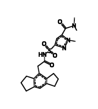 CN(C)C(=O)c1cc(S(=O)(=O)NC(=O)Cc2c3c(cc4c2CCC4)CCC3)nn1C